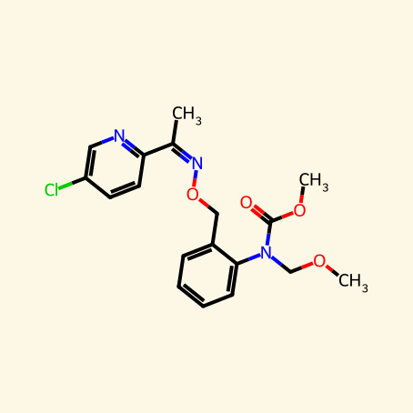 COCN(C(=O)OC)c1ccccc1CON=C(C)c1ccc(Cl)cn1